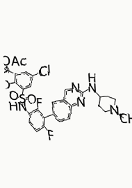 CC(=O)O[C@@H]1COc2c1cc(Cl)cc2S(=O)(=O)Nc1ccc(F)c(-c2ccc3nc(NC4CCN(C)CC4)ncc3c2)c1F